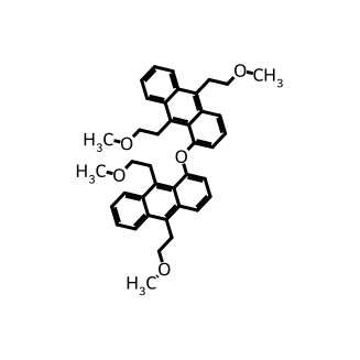 COCCc1c2ccccc2c(CCOC)c2c(Oc3cccc4c(CCOC)c5ccccc5c(CCOC)c34)cccc12